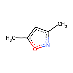 Cc1[c]c(C)on1